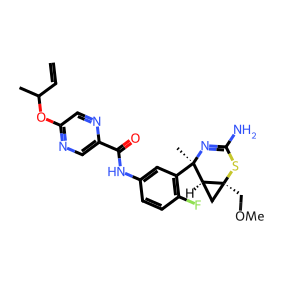 C=CC(C)Oc1cnc(C(=O)Nc2ccc(F)c([C@@]3(C)N=C(N)S[C@@]4(COC)C[C@H]43)c2)cn1